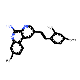 COc1ccc(C=Cc2cnc3c(N)nc4cc(C)ccc4c3c2)c(C)c1